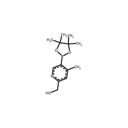 Cc1cc(CO)ncc1B1OC(C)(C)C(C)(C)O1